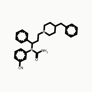 N#Cc1cccc(N(C(N)=O)C(CCN2CCC(Cc3ccccc3)CC2)c2ccccc2)c1